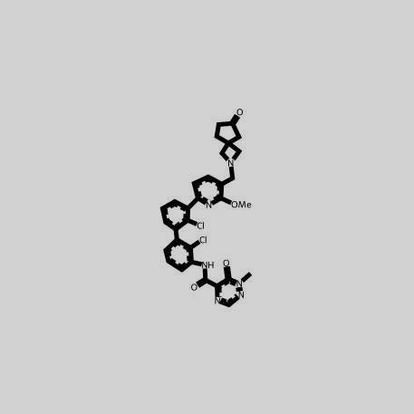 COc1nc(-c2cccc(-c3cccc(NC(=O)c4ncnn(C)c4=O)c3Cl)c2Cl)ccc1CN1CC2(CCC(=O)C2)C1